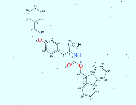 O=C(NC(Cc1ccc(OCCC2CCCCC2)cc1)C(=O)O)OCC1c2ccccc2-c2ccccc21